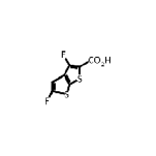 O=C(O)c1sc2sc(F)cc2c1F